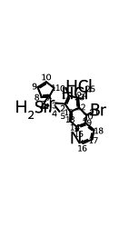 CC1=[C]([Zr]([CH3])([CH3])(=[SiH2])[C]2=CC=CC2)C2=Cc3ncccc3C(Br)C2=C1.Cl.Cl